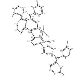 Cc1cccc(N(c2cccc(C)c2)c2ccc3c(c2)C(C)(C)c2c-3ccc3c2C(C)(C)c2cc(N(c4cccc(C)c4)c4cccc(C)c4)c4ccccc4c2-3)c1